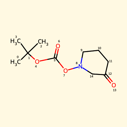 CC(C)(C)OC(=O)ON1CCCC(=O)C1